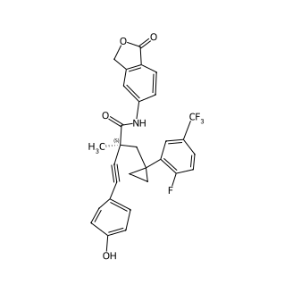 C[C@@](C#Cc1ccc(O)cc1)(CC1(c2cc(C(F)(F)F)ccc2F)CC1)C(=O)Nc1ccc2c(c1)COC2=O